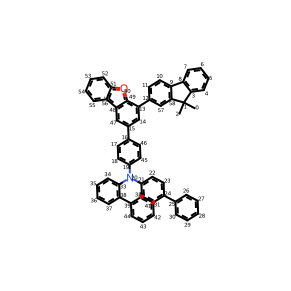 CC1(C)c2ccccc2-c2ccc(-c3cc(-c4ccc(N(c5ccc(-c6ccccc6)cc5)c5ccccc5-c5ccccc5)cc4)cc4c3oc3ccccc34)cc21